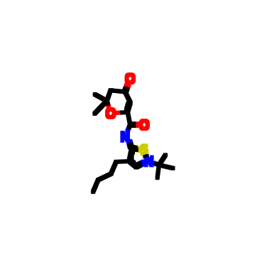 CCCCc1cn(C(C)(C)C)s/c1=N\C(=O)C1=CC(=O)CC(C)(C)O1